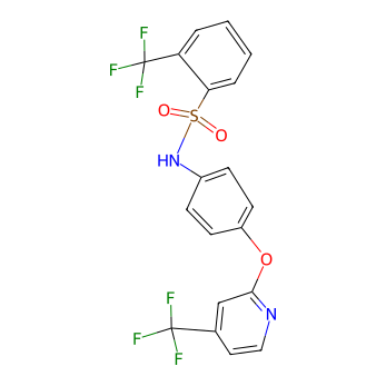 O=S(=O)(Nc1ccc(Oc2cc(C(F)(F)F)ccn2)cc1)c1ccccc1C(F)(F)F